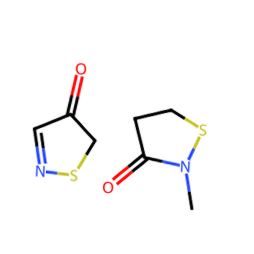 CN1SCCC1=O.O=C1C=NSC1